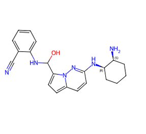 N#Cc1ccccc1NC(O)c1ccc2ccc(N[C@@H]3CCCC[C@@H]3N)nn12